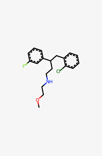 COCCNCCC(Cc1ccccc1Cl)c1cccc(F)c1